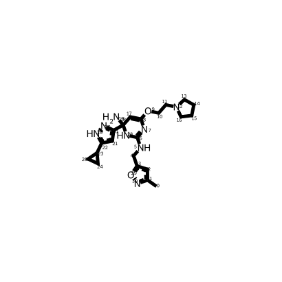 Cc1cc(CNC2=NC(OCCN3CCCC3)=CC(N)(c3cc(C4CC4)[nH]n3)N2)on1